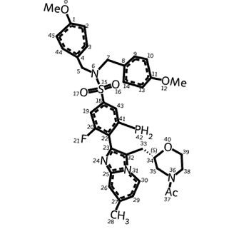 COc1ccc(CN(Cc2ccc(OC)cc2)S(=O)(=O)c2cc(F)c(-c3nc4cc(C)ccn4c3C[C@H]3CN(C(C)=O)CCO3)c(P)c2)cc1